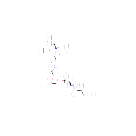 CC(COC(C)(C)CCNC(=O)CCS)OCCC(=O)NCCNC(C)(C)CN